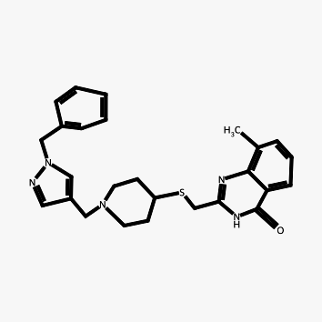 Cc1cccc2c(=O)[nH]c(CSC3CCN(Cc4cnn(Cc5ccccc5)c4)CC3)nc12